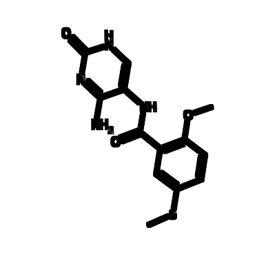 COc1ccc(SC)cc1C(=O)Nc1c[nH]c(=O)nc1N